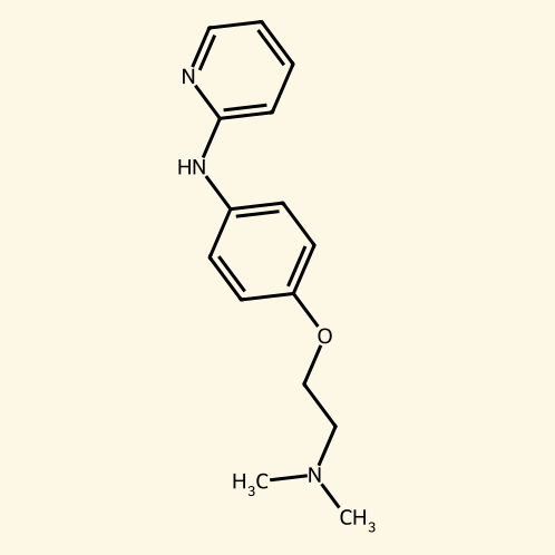 CN(C)CCOc1ccc(Nc2ccccn2)cc1